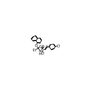 CCC(NS(=O)(=O)C=Cc1ccc(Cl)cc1)(Oc1cccc2ccccc12)C(=O)O